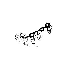 CCOC(=O)C(Cc1ccc(C(=O)OC(C)(C)C)cc1)c1ccc(-c2cccc3c2COCO3)cc1